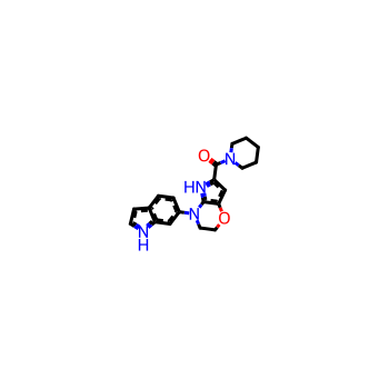 O=C(c1cc2c([nH]1)N(c1ccc3cc[nH]c3c1)CCO2)N1CCCCC1